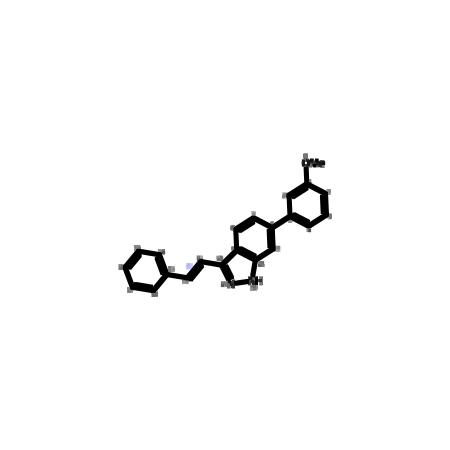 COc1cccc(-c2ccc3c(/C=C/c4ccccc4)n[nH]c3c2)c1